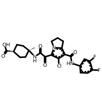 C[C@]1(NC(=O)C(=O)c2c(Cl)c(C(=O)Nc3ccc(F)c(F)c3)c3n2CCC3)CC[C@@H](C(=O)O)CC1